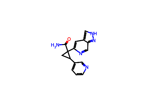 NC(=O)C1(c2cc3c[nH]nc3cn2)CC1c1cccnc1